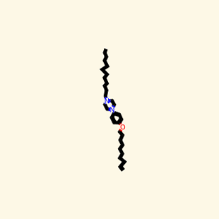 C=CCCCCCCCCOc1ccc(N2CCN(CCCCCCCCCCCC)CC2)cc1